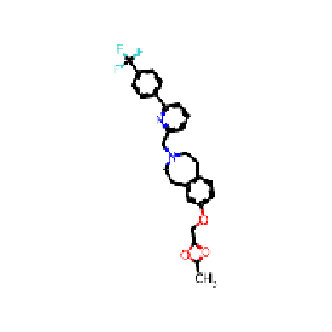 CC1OC(COc2ccc3c(c2)CCN(Cc2cccc(-c4ccc(C(F)(F)F)cc4)n2)CC3)O1